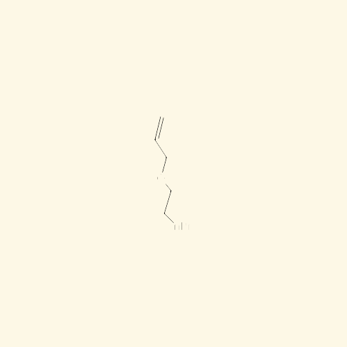 C=CCOCCC[CH]C